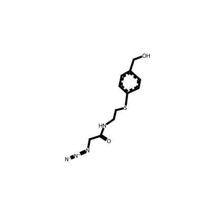 [N-]=[N+]=NCC(=O)NCCSc1ccc(CO)cc1